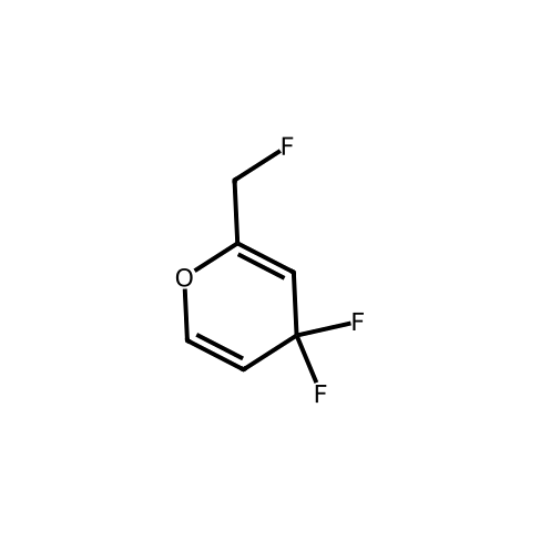 FCC1=CC(F)(F)C=CO1